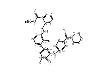 CCCCOC(=O)c1ccccc1CNc1cccc(-c2cn(C)c(=O)c(Nc3ccc(C(=O)N4CCOCC4)cc3)n2)c1C